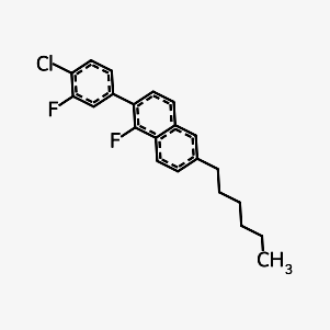 CCCCCCc1ccc2c(F)c(-c3ccc(Cl)c(F)c3)ccc2c1